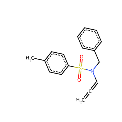 C=C=CN(Cc1ccccc1)S(=O)(=O)c1ccc(C)cc1